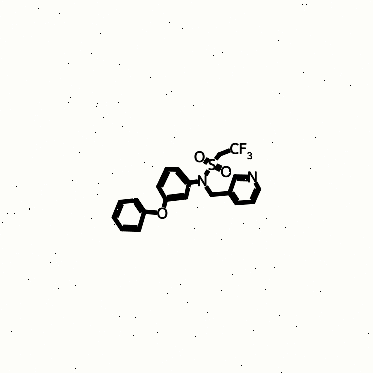 O=S(=O)(CC(F)(F)F)N(Cc1cccnc1)c1cccc(Oc2ccccc2)c1